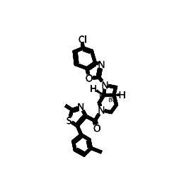 Cc1cccc(-c2sc(C)nc2C(=O)N2CC[C@H]3CN(c4nc5cc(Cl)ccc5o4)[C@H]3C2)c1